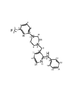 FC(F)(F)c1cccc(N2CCN(Cc3cccnc3Nc3ccccc3)CC2)c1